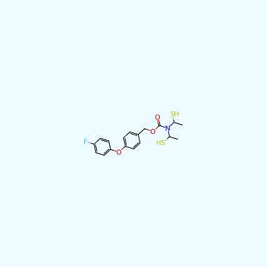 CC(S)N(C(=O)OCc1ccc(Oc2ccc(F)cc2)cc1)C(C)S